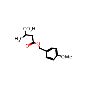 COc1ccc(COC(=O)C[C@@H](C)C(=O)O)cc1